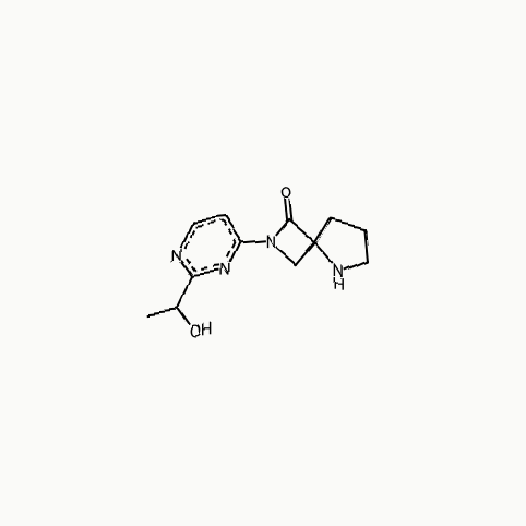 CC(O)c1nccc(N2CC3(CCCN3)C2=O)n1